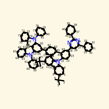 CC(C)(C)c1ccc2c(c1)c1cc(C(C)(C)C)ccc1n2-c1ccc(-c2cc(-c3ccccc3)nc(-c3ccccc3)n2)cc1-c1ccc(-c2cc3c4c(c2)N(c2ccccc2)c2ccccc2B4c2ccccc2N3c2ccccc2)cc1